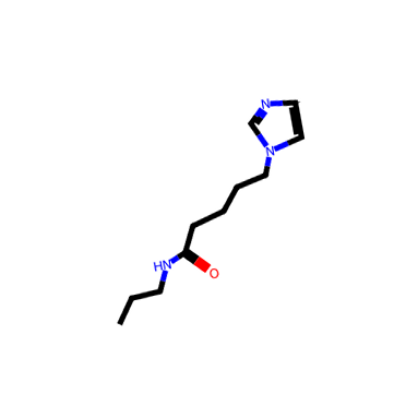 CCCNC(=O)CCCCn1c[c]nc1